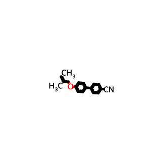 C/C=C(/C)COc1ccc(-c2ccc(C#N)cc2)cc1